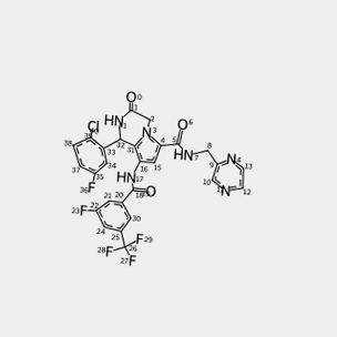 O=C1Cn2c(C(=O)NCc3cnccn3)cc(NC(=O)c3cc(F)cc(C(F)(F)F)c3)c2C(c2cc(F)ccc2Cl)N1